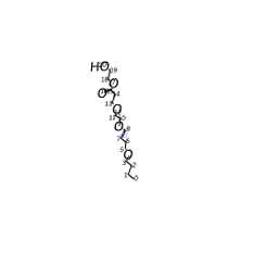 CCCCOCC/C=C/OCCOCCC(=O)OCCO